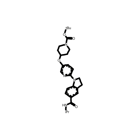 CC(C)NC(=O)c1ccc2c(c1)CCN2c1ccc(OC2CCN(C(=O)OC(C)(C)C)CC2)cn1